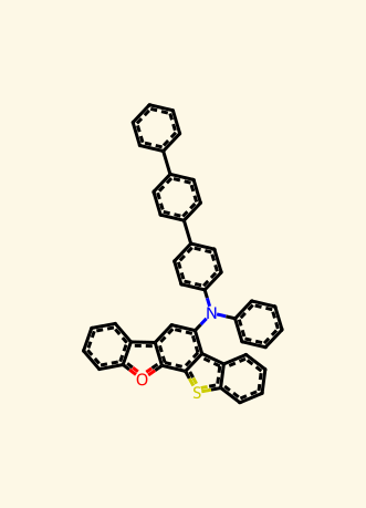 c1ccc(-c2ccc(-c3ccc(N(c4ccccc4)c4cc5c6ccccc6oc5c5sc6ccccc6c45)cc3)cc2)cc1